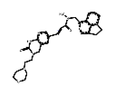 CN(Cc1ccc2c3c(cccc13)CC2)C(=O)/C=C/c1cnc2c(c1)CN(CCN1CCOCC1)C(=O)N2